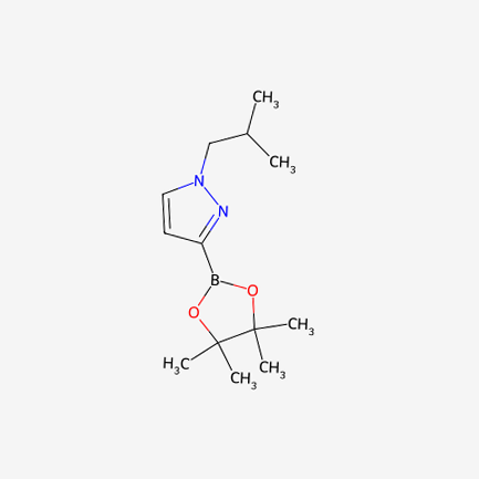 CC(C)Cn1ccc(B2OC(C)(C)C(C)(C)O2)n1